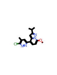 COc1ccc(-c2cc(C)c(Cl)nn2)c2cc(C(C)C)nn12